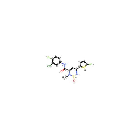 CN1C(C(=O)Nc2ccc(F)c(Cl)c2)=CC(c2ccc(F)s2)=N[S+]1[O-]